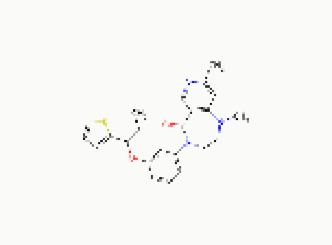 [CH2]CC(Oc1cccc(N2CCN(C)c3cc(C)ncc3C2=O)c1)c1cccs1